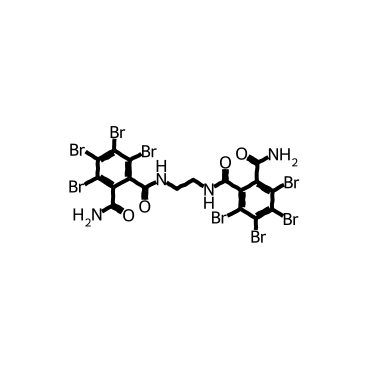 NC(=O)c1c(Br)c(Br)c(Br)c(Br)c1C(=O)NCCNC(=O)c1c(Br)c(Br)c(Br)c(Br)c1C(N)=O